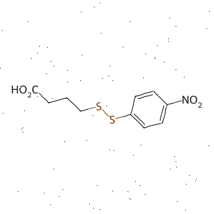 O=C(O)CCCSSc1ccc([N+](=O)[O-])cc1